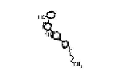 CCCCOc1ccc(N2CCN(c3cc(-c4ccccc4O)nnc3N)CC2)cc1